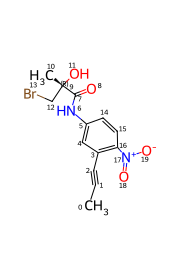 CC#Cc1cc(NC(=O)[C@@](C)(O)CBr)ccc1[N+](=O)[O-]